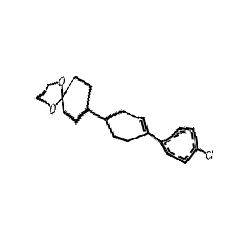 Clc1ccc(C2=CCC(C3CCC4(CC3)OCCO4)CC2)cc1